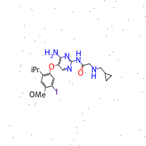 COc1cc(C(C)C)c(Oc2cnc(NC(=O)CNCC3CC3)nc2N)cc1I